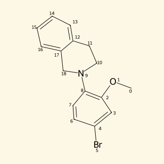 COc1cc(Br)ccc1N1CCc2ccccc2C1